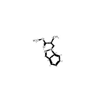 COC(=O)C(C)Cn1ncc2ccccc21